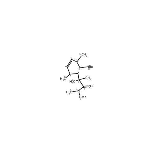 CON(C)C(=O)C(C)(C)CC(C)/C=C\C(C)CC(C)(C)C